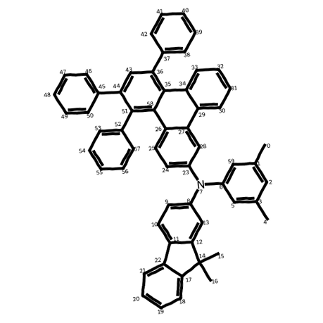 Cc1cc(C)cc(N(c2ccc3c(c2)C(C)(C)c2ccccc2-3)c2ccc3c(c2)c2ccccc2c2c(-c4ccccc4)cc(-c4ccccc4)c(-c4ccccc4)c32)c1